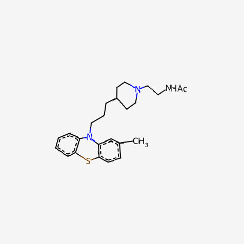 CC(=O)NCCN1CCC(CCCN2c3ccccc3Sc3ccc(C)cc32)CC1